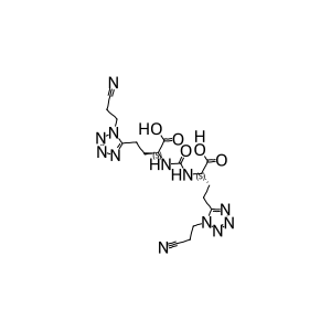 N#CCCn1nnnc1CC[C@H](NC(=O)N[C@@H](CCc1nnnn1CCC#N)C(=O)O)C(=O)O